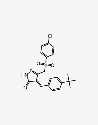 CC(C)(C)c1ccc(C=C2C(=O)NN=C2CS(=O)(=O)c2ccc(Cl)cc2)cc1